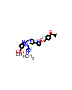 CCn1cnc(Cn2c(CN3CCC(c4cccc(OCc5ccc(C(=O)C6CC6)cc5F)n4)CC3)nc3ccc(C(=O)OC)cc32)c1